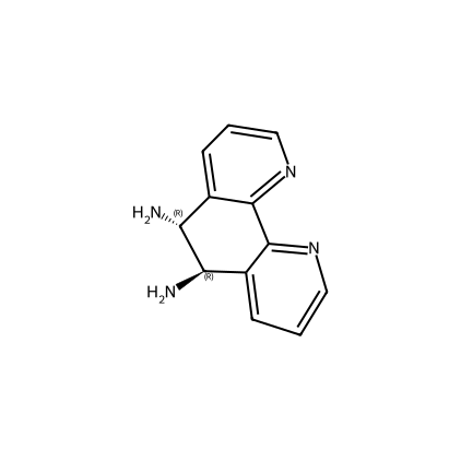 N[C@@H]1c2cccnc2-c2ncccc2[C@H]1N